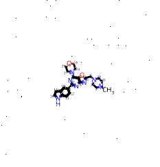 CN1CCN(Cc2nc3nc(-c4ccc5[nH]ccc5c4)nc(N4CCOCC4)c3o2)CC1